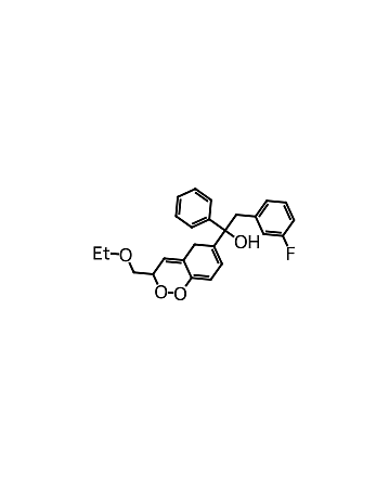 CCOCC1C=C2CC(C(O)(Cc3cccc(F)c3)c3ccccc3)=CC=C2OO1